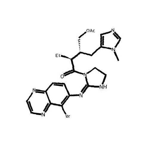 CC[C@H](C(=O)N1CCN/C1=N/c1ccc2nccnc2c1Br)[C@H](COC(C)=O)Cc1cncn1C